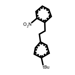 CC(C)(C)c1ccc(CCc2ccccc2[N+](=O)[O-])cc1